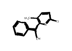 Cc1ccc(Cl)nc1C(C#N)c1ccccc1